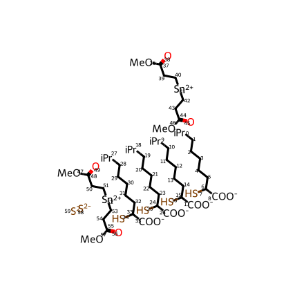 CC(C)CCCCCC(S)C(=O)[O-].CC(C)CCCCCC(S)C(=O)[O-].CC(C)CCCCCC(S)C(=O)[O-].CC(C)CCCCCC(S)C(=O)[O-].COC(=O)C[CH2][Sn+2][CH2]CC(=O)OC.COC(=O)C[CH2][Sn+2][CH2]CC(=O)OC.[S-2].[S-2]